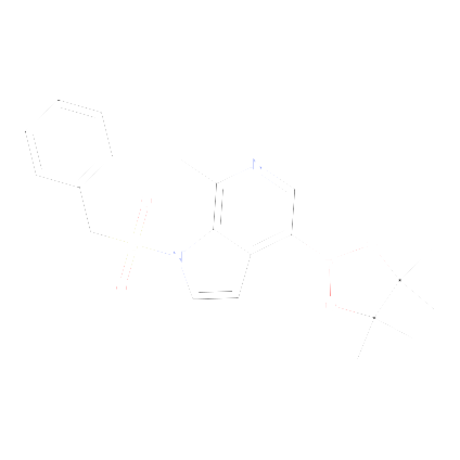 Cc1ncc(B2OC(C)(C)C(C)(C)O2)c2ccn(S(=O)(=O)Cc3ccccc3)c12